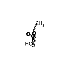 CCCCCCc1ccc2nc(N3CCC(C(=O)O)C3)cc(-c3ccccc3)c2c1